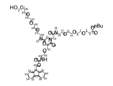 CCCCOC(=O)CCOCCOCCOCCN(C)C(=O)CN(CC(=O)N(C)CCOCCOCCOCCC(=O)O)C(=O)CCOCCNC(=O)OCC1c2ccccc2-c2ccccc21